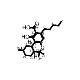 CCCCCc1cc2c(c(O)c1C(=O)O)[C@@H]1CC(C)CC[C@H]1C(C)(C)O2